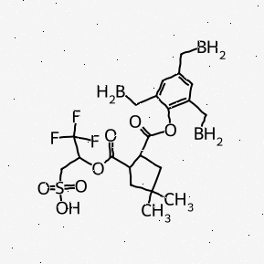 BCc1cc(CB)c(OC(=O)C2CC(C)(C)CC2C(=O)OC(CS(=O)(=O)O)C(F)(F)F)c(CB)c1